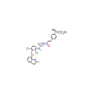 CCOC(=O)N(C(C)=O)c1ccc(C=CC(=O)NCC(=O)N(C)c2ccc(Cl)c(COc3cccc4ccc(C)nc34)c2Cl)cc1